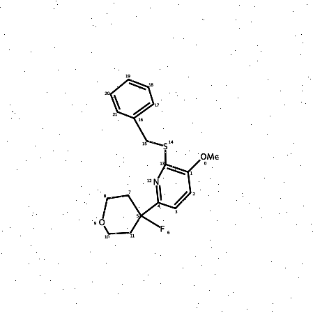 COc1ccc(C2(F)CCOCC2)nc1SCc1ccccc1